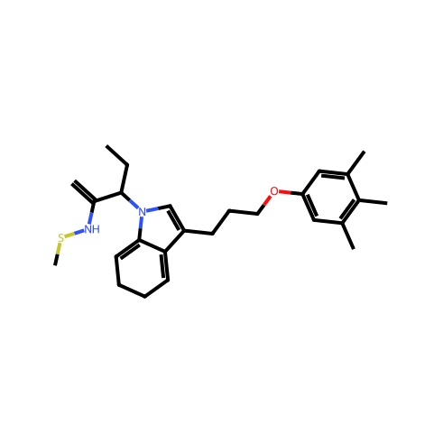 C=C(NSC)C(CC)n1cc(CCCOc2cc(C)c(C)c(C)c2)c2c1=CCCC=2